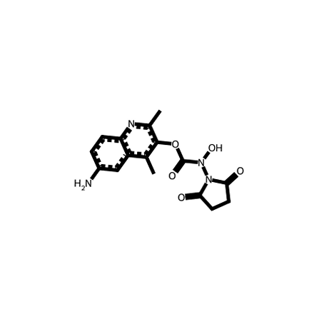 Cc1nc2ccc(N)cc2c(C)c1OC(=O)N(O)N1C(=O)CCC1=O